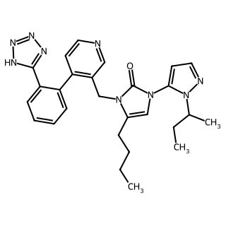 CCCCc1cn(-c2ccnn2C(C)CC)c(=O)n1Cc1cnccc1-c1ccccc1-c1nnn[nH]1